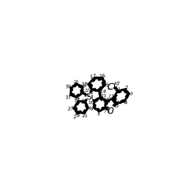 Clc1cccc2oc3ccc4c(c3c12)-c1ccccc1[Si]4(c1ccccc1)c1ccccc1